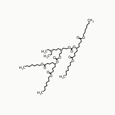 CCCCCCCOC(=O)CCCC(CCCC(=O)OCCCCCCC)OC(=O)OCCN(CCCN(CC)CC)CCOC(=O)OC(CCCC(=O)OCCCCCCC)CCCC(=O)OCCCCCCC